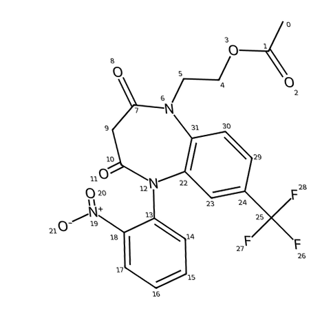 CC(=O)OCCN1C(=O)CC(=O)N(c2ccccc2[N+](=O)[O-])c2cc(C(F)(F)F)ccc21